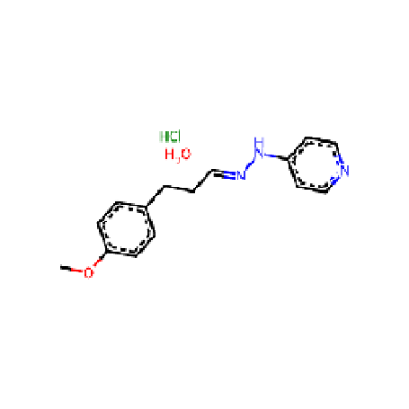 COc1ccc(CCC=NNc2ccncc2)cc1.Cl.O